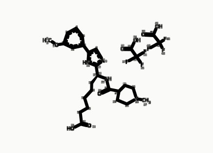 COc1cccc(-c2cnc([C@H](CCCCCC(=O)O)NC(=O)C3CCN(C)CC3)[nH]2)c1.O=C(O)C(F)(F)F.O=C(O)C(F)(F)F